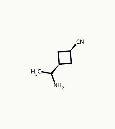 CC(N)[C@H]1C[C@@H](C#N)C1